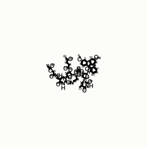 COc1ccc(C(OC[C@H]2O[C@@H](n3cc(C)c(=O)[nH]c3=O)CC2OP(=O)(OCCC#N)OC[C@H]2O[C@@H](n3cc(CNC(=O)COC(C)=O)c(=O)[nH]c3=O)CC2OC(=O)CCC(C)=O)(c2ccccc2)c2ccc(OC)cc2)cc1